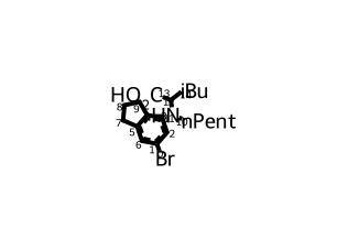 Brc1ccc2c(c1)CCC2.CCCCCNC(C(=O)O)C(C)CC